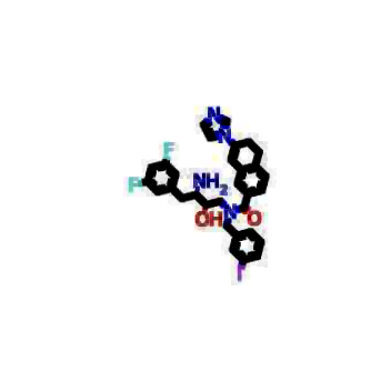 N[C@@H](Cc1cc(F)cc(F)c1)[C@H](O)CN(Cc1cccc(I)c1)C(=O)c1ccc2c(c1)C=C(n1ccnc1)CC2